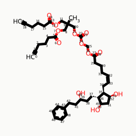 C#CCCCC(=O)OCC(C)(COC(=O)CCCC#C)COC(=O)OCOC(=O)CCC/C=C\C[C@@H]1[C@@H](CC[C@@H](O)CCc2ccccc2)[C@H](O)C[C@@H]1O